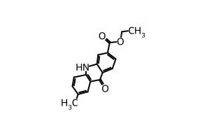 CCOC(=O)c1ccc2c(=O)c3cc(C)ccc3[nH]c2c1